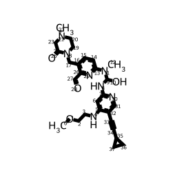 COCCNc1cc(NC(O)N(C)c2ccc(CN3CCN(C)CC3=O)c(C=O)n2)ncc1C#CC1CC1